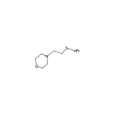 CCCSCCN1CCOCC1